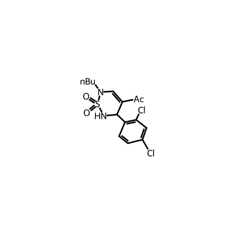 CCCCN1C=C(C(C)=O)C(c2ccc(Cl)cc2Cl)NS1(=O)=O